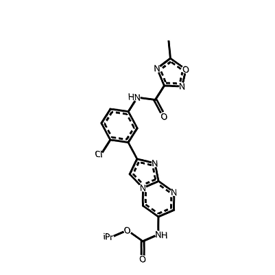 Cc1nc(C(=O)Nc2ccc(Cl)c(-c3cn4cc(NC(=O)OC(C)C)cnc4n3)c2)no1